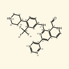 O=CC1NC=Cc2cc(-c3cncnc3)nc(Nc3ccc(C4CCNCC4)c(C(F)(F)F)c3)c21